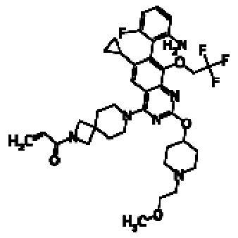 C=CC(=O)N1CC2(CCN(c3nc(OC4CCN(CCOC)CC4)nc4c(OCC(F)(F)F)c(-c5c(N)cccc5F)c(C5CC5)cc34)CC2)C1